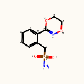 NS(=O)(=O)Cc1ccccc1C1=NOCCO1